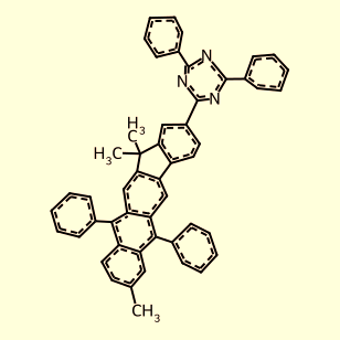 Cc1ccc2c(-c3ccccc3)c3cc4c(cc3c(-c3ccccc3)c2c1)-c1ccc(-c2nc(-c3ccccc3)nc(-c3ccccc3)n2)cc1C4(C)C